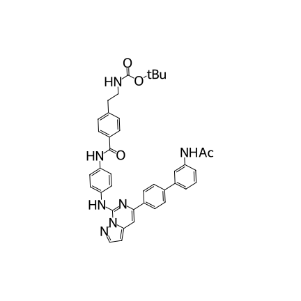 CC(=O)Nc1cccc(-c2ccc(-c3cc4ccnn4c(Nc4ccc(NC(=O)c5ccc(CCNC(=O)OC(C)(C)C)cc5)cc4)n3)cc2)c1